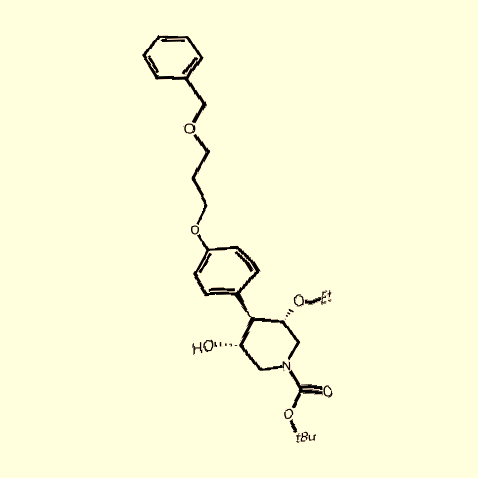 CCO[C@@H]1CN(C(=O)OC(C)(C)C)C[C@H](O)[C@H]1c1ccc(OCCCOCc2ccccc2)cc1